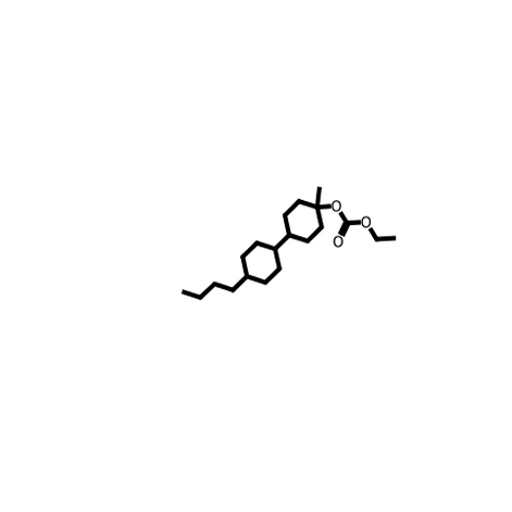 CCCCC1CCC(C2CCC(C)(OC(=O)OCC)CC2)CC1